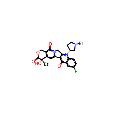 CCN1CC[C@@H](n2c3c(c(=O)c4cc(F)ccc42)-c2cc4c(c(=O)n2C3)COC(=O)[C@]4(O)CC)C1